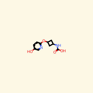 O=C(O)NC1CC(Oc2ccc(O)cn2)C1